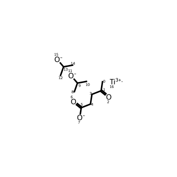 CC(=O)CCC(=O)[O-].CC(C)[O-].CC(C)[O-].[Ti+3]